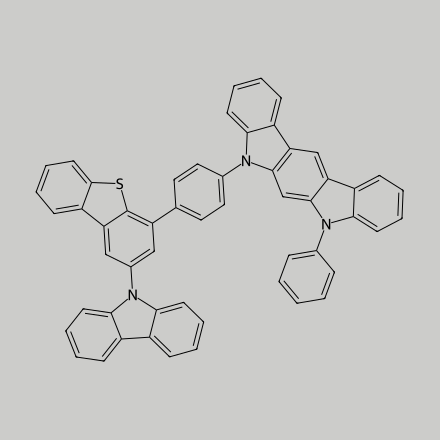 c1ccc(-n2c3ccccc3c3cc4c5ccccc5n(-c5ccc(-c6cc(-n7c8ccccc8c8ccccc87)cc7c6sc6ccccc67)cc5)c4cc32)cc1